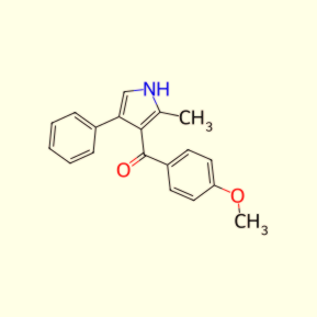 COc1ccc(C(=O)c2c(-c3ccccc3)c[nH]c2C)cc1